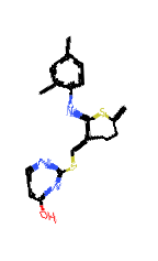 C=C1CCC(=C\Sc2nccc(O)n2)/C(=N/c2ccc(C)cc2C)S1